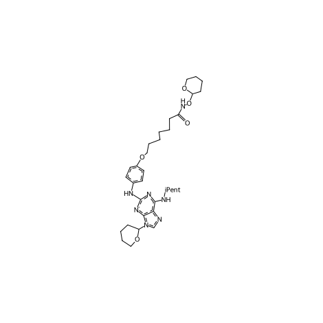 CCCC(C)Nc1nc(Nc2ccc(OCCCCCCC(=O)NOC3CCCCO3)cc2)nc2c1ncn2C1CCCCO1